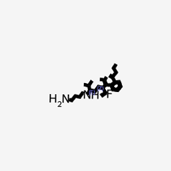 C=C(F)/C(=C\C=C(\NCCCCN)C(C)C)C(=C(C)C)c1ccccc1C(=C)CCC